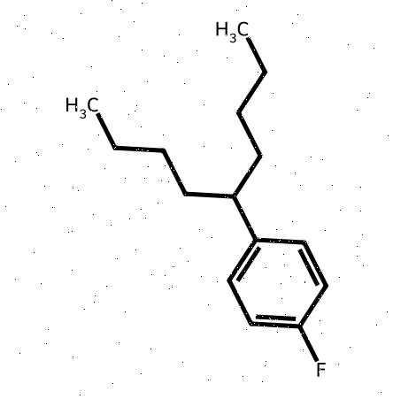 CCCCC(CCCC)c1ccc(F)cc1